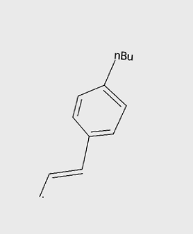 [CH2]/C=C/c1ccc(CCCC)cc1